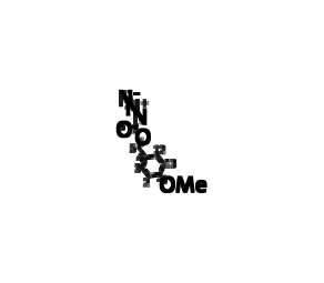 COc1ccc(COC(=O)N=[N+]=[N-])cc1